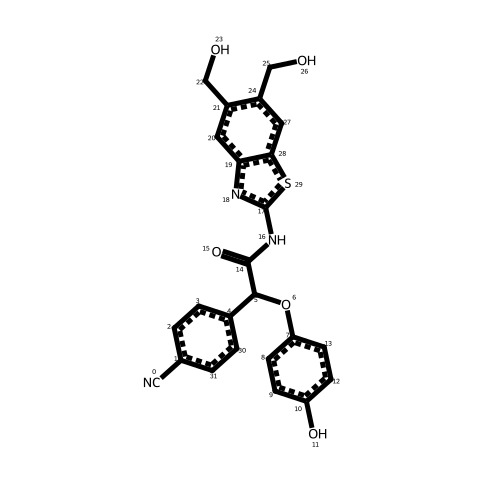 N#Cc1ccc(C(Oc2ccc(O)cc2)C(=O)Nc2nc3cc(CO)c(CO)cc3s2)cc1